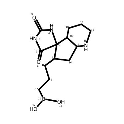 O=C1NC(=O)C2(N1)C(CCCB(O)O)CC1NCCCC12